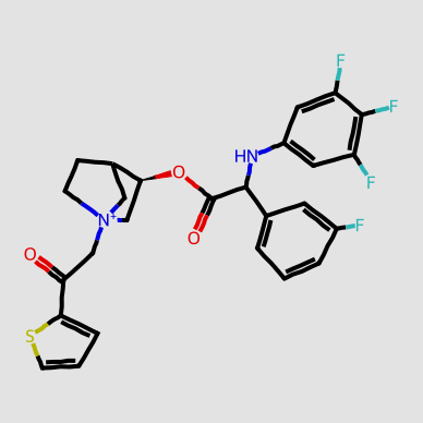 O=C(C[N+]12CCC(C1)[C@@H](OC(=O)C(Nc1cc(F)c(F)c(F)c1)c1cccc(F)c1)C2)c1cccs1